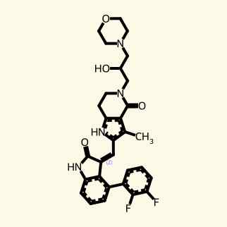 Cc1c(/C=C2\C(=O)Nc3cccc(-c4cccc(F)c4F)c32)[nH]c2c1C(=O)N(CC(O)CN1CCOCC1)CC2